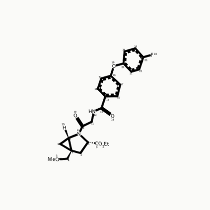 CCOC(=O)[C@@H]1C[C@]2(COC)C[C@@H]2N1C(=O)CNC(=O)c1ccc(Oc2ccc(F)cc2)cc1